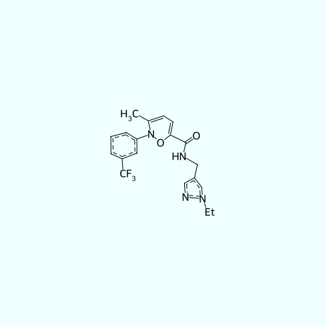 CCn1cc(CNC(=O)C2=CC=C(C)N(c3cccc(C(F)(F)F)c3)O2)cn1